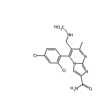 Cc1nc2nc(C(N)=O)cn2c(-c2ccc(Cl)cc2Cl)c1CNC(=O)O